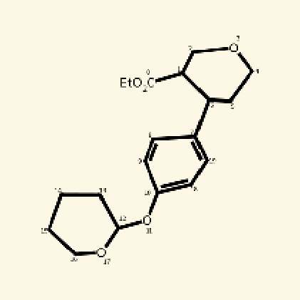 CCOC(=O)C1COCCC1c1ccc(OC2CCCCO2)cc1